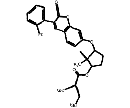 CCc1ccccc1-c1cc2ccc(OC3CCC(OC(=O)C(CC(C)(C)C)C(C)(C)C)C3(C)C(F)(F)F)cc2oc1=O